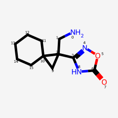 NCC1(c2noc(=O)[nH]2)CC12CCCCC2